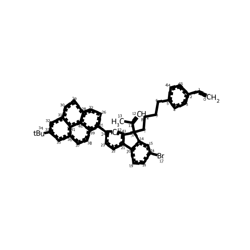 C=Cc1ccc(CCCCC2(C(=C)C)c3cc(Br)ccc3-c3ccc(-c4ccc5ccc6cc(C(C)(C)C)cc7ccc4c5c67)cc32)cc1